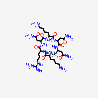 N=C(N)NCCCC(NC(=O)C(N)CCCCN)C(=O)NC(CC(N)=O)C(=O)NC(CCCCN)C(=O)NC(CC(N)=O)C(=O)NC(CC(N)=O)C(=O)O